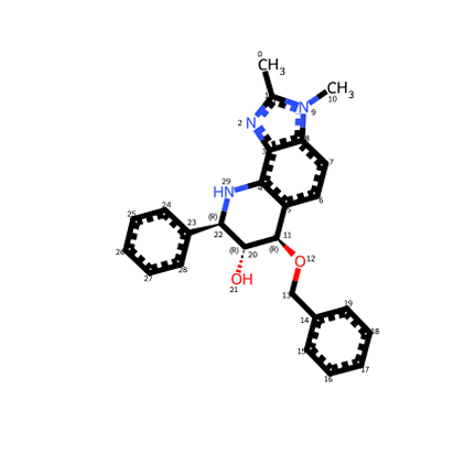 Cc1nc2c3c(ccc2n1C)[C@@H](OCc1ccccc1)[C@H](O)[C@@H](c1ccccc1)N3